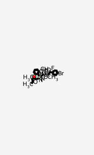 COc1cccc(OC)c1-n1c(NS(=O)(=O)[C@@H](C)[C@H](O)c2ccc(Br)cc2F)nnc1-c1ccc(C)o1